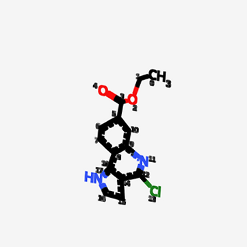 CCOC(=O)c1ccc2c(c1)nc(Cl)c1cc[nH]c12